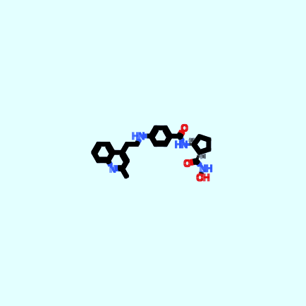 Cc1cc(CCNc2ccc(C(=O)N[C@@H]3CCC[C@@H]3C(=O)NO)cc2)c2ccccc2n1